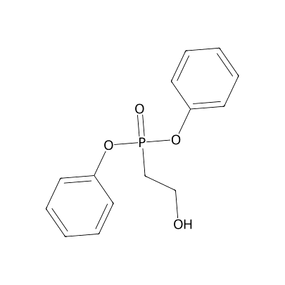 O=P(CCO)(Oc1ccccc1)Oc1ccccc1